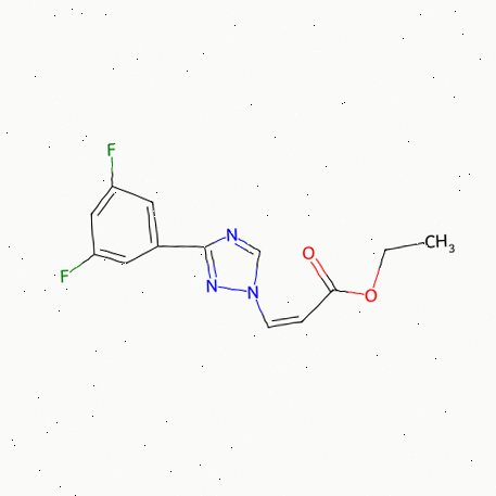 CCOC(=O)/C=C\n1cnc(-c2cc(F)cc(F)c2)n1